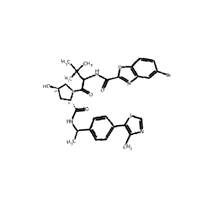 Cc1ncsc1-c1ccc(C(C)NC(=O)[C@@H]2C[C@@H](O)CN2C(=O)C(NC(=O)c2nc3cc(Br)ccc3o2)C(C)(C)C)cc1